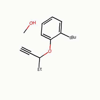 C#CC(CC)Oc1ccccc1C(C)(C)C.CO